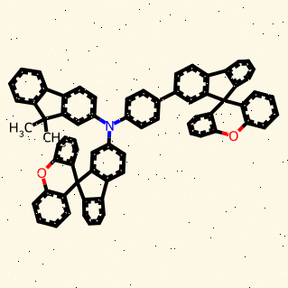 CC1(C)c2ccccc2-c2ccc(N(c3ccc(-c4ccc5c(c4)C4(c6ccccc6Oc6ccccc64)c4ccccc4-5)cc3)c3ccc4c(c3)C3(c5ccccc5Oc5ccccc53)c3ccccc3-4)cc21